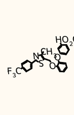 Cc1nc(-c2ccc(C(F)(F)F)cc2)sc1COc1ccccc1Oc1cccc(C(=O)O)c1